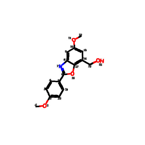 COc1ccc(-c2nc3cc(OC)cc(CO)c3o2)cc1